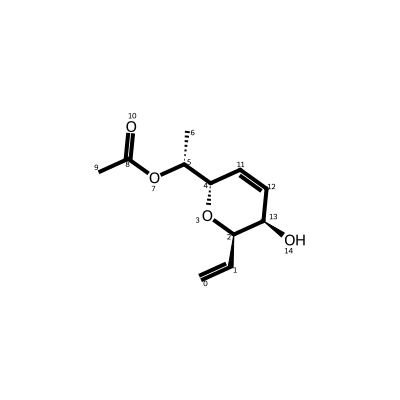 C=C[C@H]1O[C@H]([C@@H](C)OC(C)=O)C=C[C@H]1O